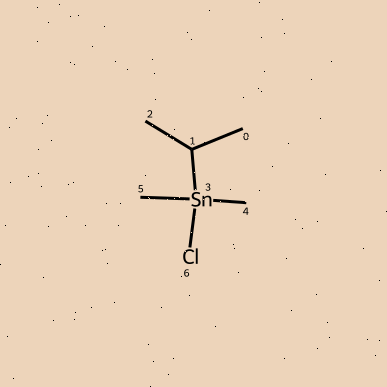 C[CH](C)[Sn]([CH3])([CH3])[Cl]